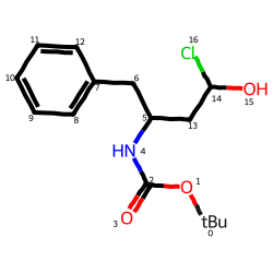 CC(C)(C)OC(=O)NC(Cc1ccccc1)CC(O)Cl